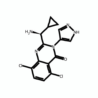 N[C@H](c1nc2c(Cl)ccc(Cl)c2c(=O)n1-c1cn[nH]c1)C1CC1